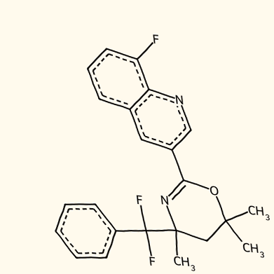 CC1(C)CC(C)(C(F)(F)c2ccccc2)N=C(c2cnc3c(F)cccc3c2)O1